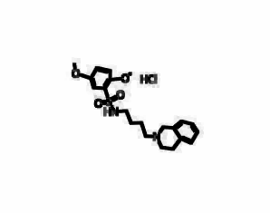 COc1ccc(OC)c(S(=O)(=O)NCCCCN2CCc3ccccc3C2)c1.Cl